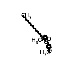 CCCCCCCCCCCCCCCCn1ccc(=O)c(OCc2ccc(OC)cc2)c1CC